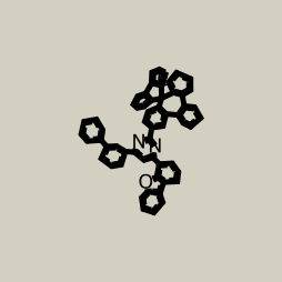 c1ccc(-c2cccc(-c3cc(-c4cccc5c4oc4ccccc45)nc(-c4ccc5c(c4)-c4ccccc4-c4ccccc4C54c5ccccc5-c5ccccc54)n3)c2)cc1